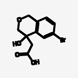 O=C(O)CC1(O)COCc2ccc(Br)cc21